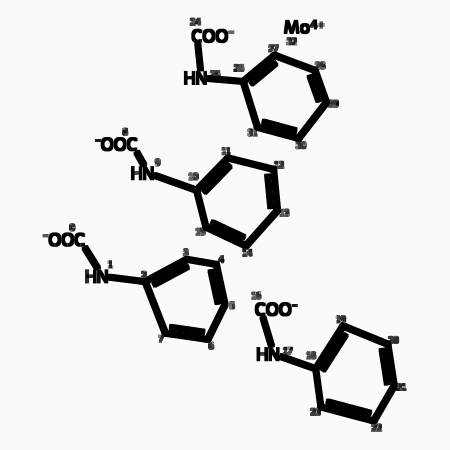 O=C([O-])Nc1ccccc1.O=C([O-])Nc1ccccc1.O=C([O-])Nc1ccccc1.O=C([O-])Nc1ccccc1.[Mo+4]